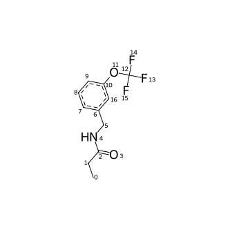 CCC(=O)NCc1cccc(OC(F)(F)F)c1